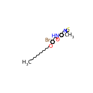 CCCCCCCCCCCCCCOc1ccc(CC(=O)Nc2cccc(C[n+]3cscc3C)c2)cc1.[Br-]